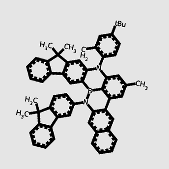 Cc1cc2c3c(c1)N(c1ccc(C(C)(C)C)cc1C)c1cc4c(cc1B3N(c1ccc3c(c1)-c1ccccc1C3(C)C)c1cc3ccccc3cc1-2)-c1ccccc1C4(C)C